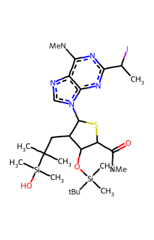 CNC(=O)C1SC(n2cnc3c(NC)nc(C(C)I)nc32)C(CC(C)(C)[Si](C)(C)O)C1O[Si](C)(C)C(C)(C)C